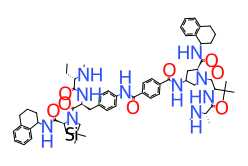 CC[C@H](NC)C(=O)N[C@@H](Cc1ccc(NC(=O)c2ccc(C(=O)N[C@H]3C[C@@H](C(=O)N[C@@H]4CCCc5ccccc54)N(C(=O)[C@@H](NC(=O)[C@H](C)NC)C(C)(C)C)C3)cc2)cc1)C(=O)N1C[Si](C)(C)C[C@H]1C(=O)N[C@@H]1CCCc2ccccc21